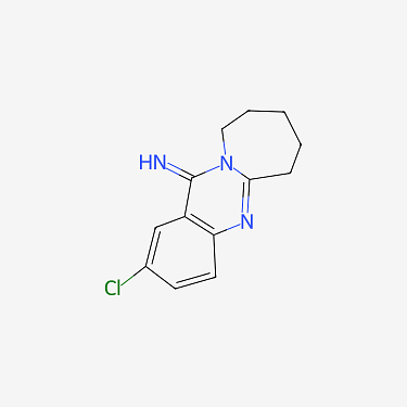 N=c1c2cc(Cl)ccc2nc2n1CCCCC2